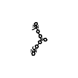 CCc1nc2ccccc2nc1-c1ccc(-c2ccc(N(c3ccccc3)c3ccc(-c4ccc(-c5nc6ccccc6nc5CC)cc4)cc3)cc2)cc1